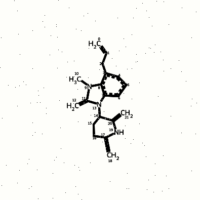 C=CCc1cccc2c1N(C)C(=C)N2C1CCC(=C)NC1=C